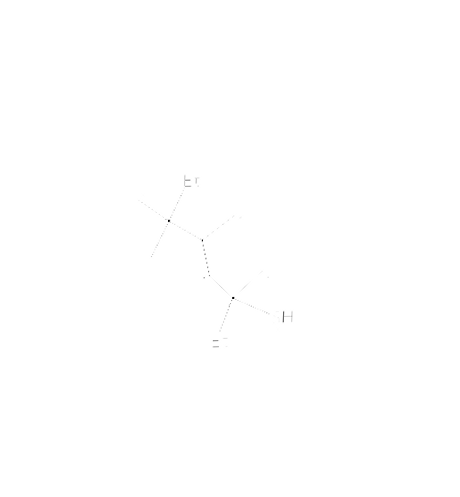 CCC(C)(S)CC(C)C(C)(C)CC